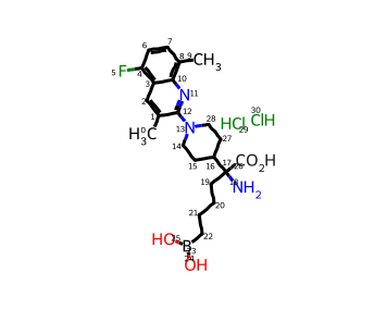 Cc1cc2c(F)ccc(C)c2nc1N1CCC(C(N)(CCCCB(O)O)C(=O)O)CC1.Cl.Cl